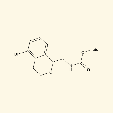 CC(C)(C)OC(=O)NCC1OCCc2c(Br)cccc21